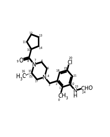 Cc1c(CN2CCN(C(=O)C3CCCC3)[C@@H](C)C2)cc(Cl)cc1NC=O